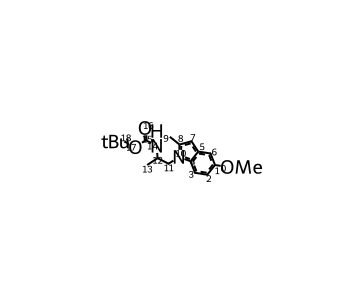 COc1ccc2c(c1)cc(C)n2CC(C)NC(=O)OC(C)(C)C